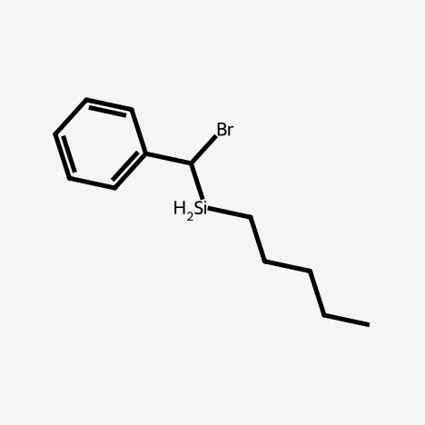 CCCCC[SiH2]C(Br)c1ccccc1